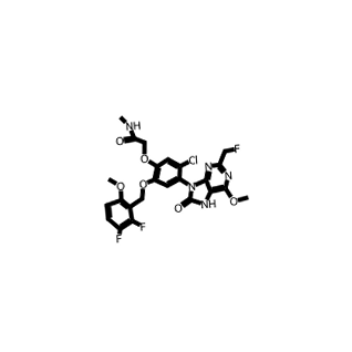 CNC(=O)COc1cc(Cl)c(-n2c(=O)[nH]c3c(OC)nc(CF)nc32)cc1OCc1c(OC)ccc(F)c1F